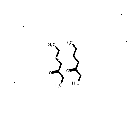 CCCCC(=O)CC.CCCCC(=O)CC